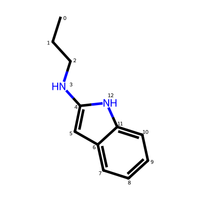 CCCNc1cc2ccccc2[nH]1